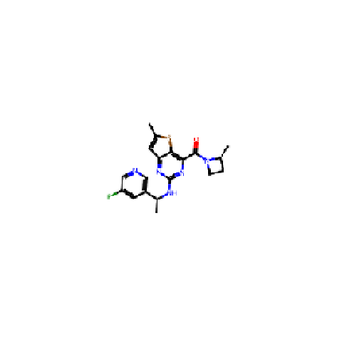 Cc1cc2nc(NC(C)c3cncc(F)c3)nc(C(=O)N3CC[C@@H]3C)c2s1